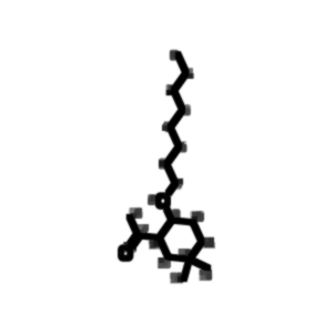 CCCCCCCCOC1CCC(C)(C)CC1C(C)=O